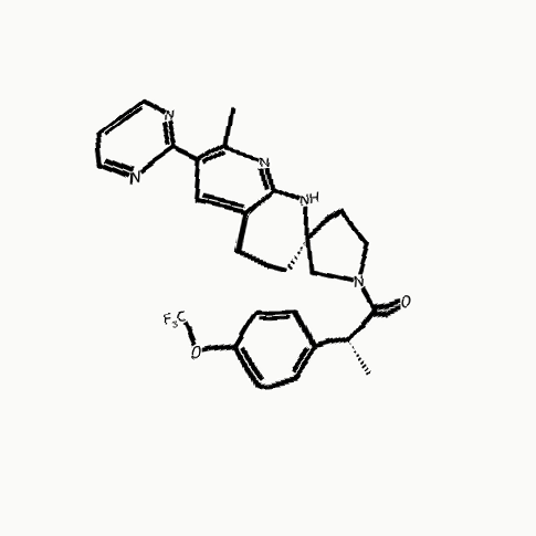 Cc1nc2c(cc1-c1ncccn1)CC[C@@]1(CCN(C(=O)[C@H](C)c3ccc(OC(F)(F)F)cc3)C1)N2